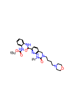 CC(C)NC(=O)N(CCCCN1CCOCC1)Cc1ccc(C(=O)Nc2ccccc2NC(=O)OC(C)(C)C)nc1